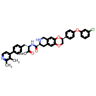 COC(=O)[C@H](Cc1ccc(-c2ccnc(C)c2C)cc1)NC(=O)[C@@H]1Cc2cc3c(cc2CN1)O[C@@H](c1ccc(Oc2cccc(Cl)c2)cc1)CO3